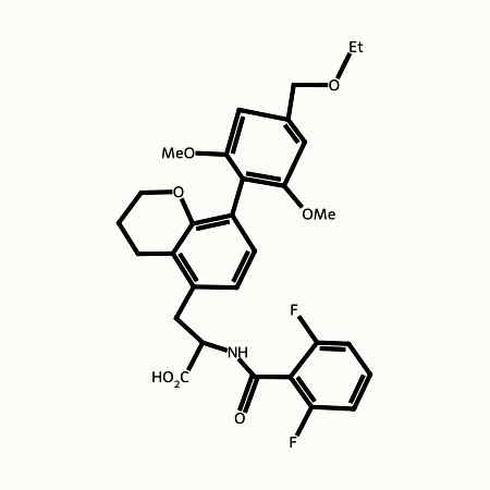 CCOCc1cc(OC)c(-c2ccc(CC(NC(=O)c3c(F)cccc3F)C(=O)O)c3c2OCCC3)c(OC)c1